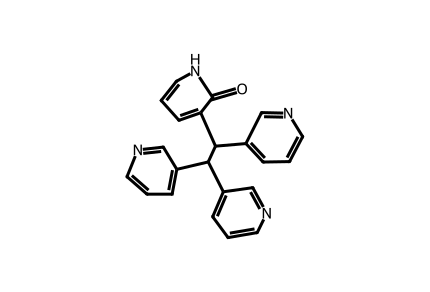 O=c1[nH]cccc1C(c1cccnc1)C(c1cccnc1)c1cccnc1